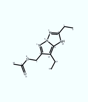 CCc1nn2nc(COC(C)=O)c(CC)c2[nH]1